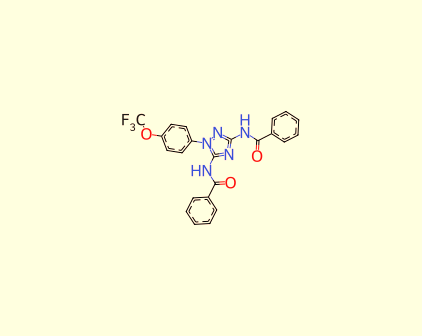 O=C(Nc1nc(NC(=O)c2ccccc2)n(-c2ccc(OC(F)(F)F)cc2)n1)c1ccccc1